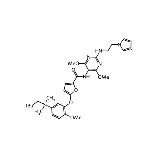 COc1ccc([Si](C)(C)CC(C)(C)C)cc1Oc1ccc(C(=O)Nc2c(OC)nc(NCCn3ccnc3)nc2OC)o1